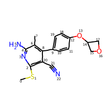 CSc1nc(N)c(C)c(-c2ccc(OC3COC3)cc2)c1C#N